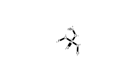 CCCCOP(=O)(OF)OCl